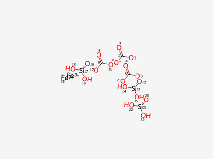 O=C([O-])[O-].O=C([O-])[O-].O=C([O-])[O-].O=[Si](O)O.O=[Si](O)O.O=[Si](O)O.[Fe+3].[Fe+3]